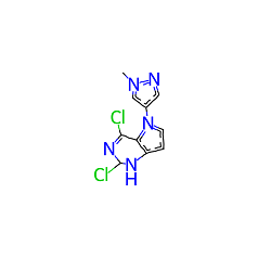 Cn1cc(-n2ccc3c2C(Cl)=NC(Cl)N3)cn1